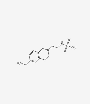 CCc1ccc2c(c1)CCN(CCNS(C)(=O)=O)C2